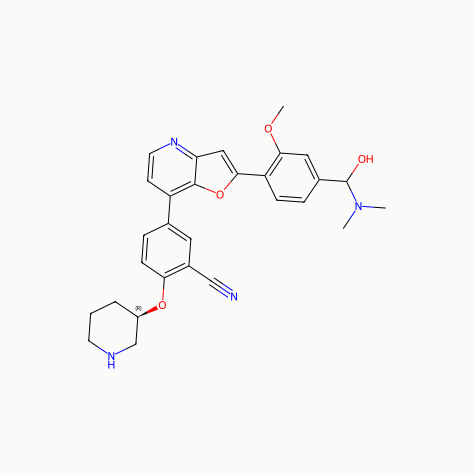 COc1cc(C(O)N(C)C)ccc1-c1cc2nccc(-c3ccc(O[C@@H]4CCCNC4)c(C#N)c3)c2o1